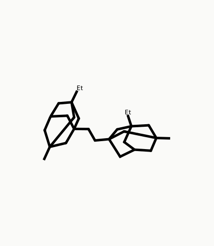 CCC12CC3CC(C)(C1)CC(CCC14CC5CC(C)(CC(CC)(C5)C1)C4)(C3)C2